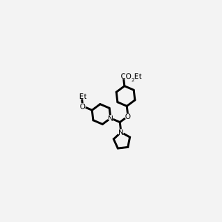 CCOC(=O)C1CCC(OC(N2CCCC2)N2CCC(OCC)CC2)CC1